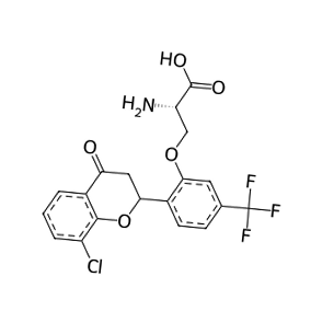 N[C@@H](COc1cc(C(F)(F)F)ccc1C1CC(=O)c2cccc(Cl)c2O1)C(=O)O